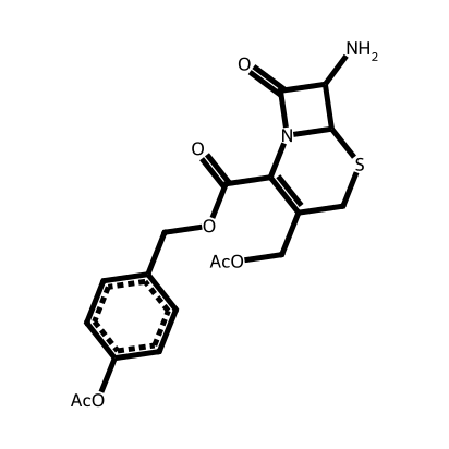 CC(=O)OCC1=C(C(=O)OCc2ccc(OC(C)=O)cc2)N2C(=O)C(N)C2SC1